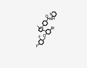 Cc1ccc(-c2cc(Br)ccc2OCc2ccc(F)cc2F)n1-c1ccc(C(=O)Nc2ccccn2)cc1